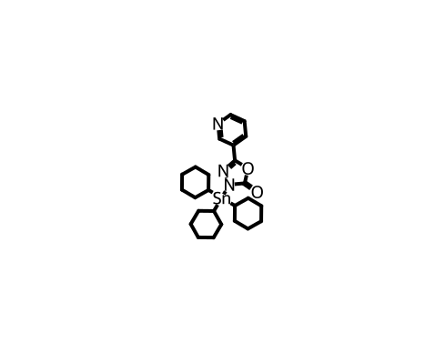 O=c1oc(-c2cccnc2)n[n]1[Sn]([CH]1CCCCC1)([CH]1CCCCC1)[CH]1CCCCC1